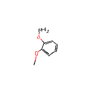 BOc1ccccc1OC